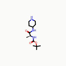 C[C@H](NC(=O)OC(C)(C)C)C(=O)NC1CCNCC1